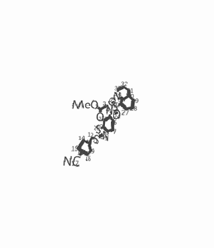 COC(=O)CN(c1ccc2nc(SCc3ccc(C#N)cc3)sc2c1)S(=O)(=O)c1cccc2cccnc12